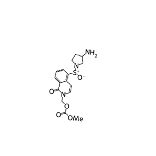 COC(=O)OCn1ccc2c([S+]([O-])N3CCC(N)C3)cccc2c1=O